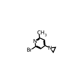 Cc1cc(N2CC2)cc(Br)n1